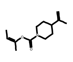 C=C(C)C1CCN(C(=O)O/C(C)=C\C)CC1